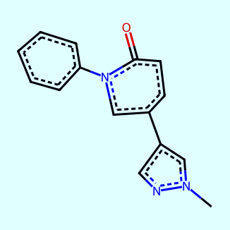 Cn1cc(-c2ccc(=O)n(-c3ccccc3)c2)cn1